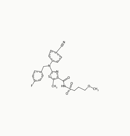 COCCCS(=O)(=O)NC(=O)c1nc(N(Cc2ccc(F)cc2)c2ccc(C#N)cc2)sc1C